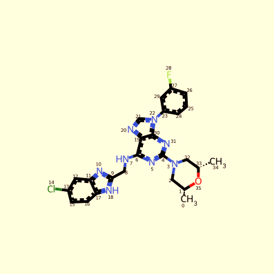 C[C@@H]1CN(c2nc(NCc3nc4cc(Cl)ccc4[nH]3)c3ncn(-c4cccc(F)c4)c3n2)C[C@H](C)O1